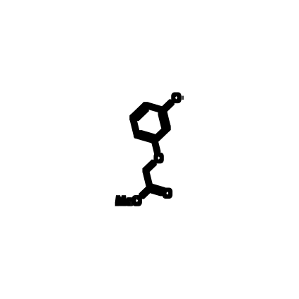 COC(=O)COc1cccc([O])c1